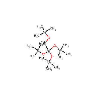 C[Si](C)(C)O[SiH2][Si](O[Si](C)(C)C)(O[Si](C)(C)C)O[Si](C)(C)C